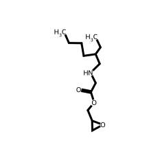 CCCCC(CC)CNCC(=O)OCC1CO1